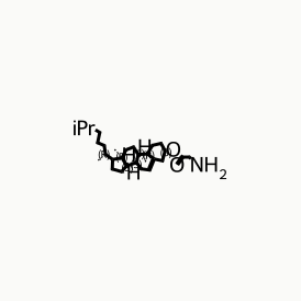 CC(C)CCC[C@@H](C)C1CC[C@H]2[C@@H]3CC=C4C[C@@H](OC(=O)CN)CC[C@]4(C)[C@H]3CC[C@]12C